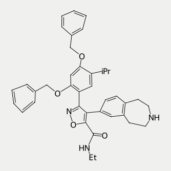 CCNC(=O)c1onc(-c2cc(C(C)C)c(OCc3ccccc3)cc2OCc2ccccc2)c1-c1ccc2c(c1)CCNCC2